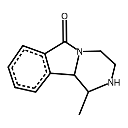 CC1NCCN2C(=O)c3ccccc3C12